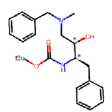 CN(Cc1ccccc1)C[C@@H](O)[C@@H](Cc1ccccc1)NC(=O)OC(C)(C)C